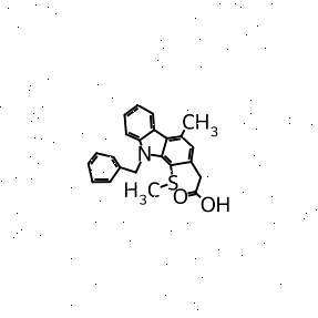 CSc1c(CC(=O)O)cc(C)c2c3ccccc3n(Cc3ccccc3)c12